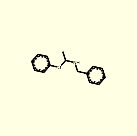 CC(NCc1ccccc1)Oc1ccccc1